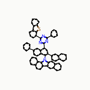 c1ccc(-c2ccc3c(-n4c5cc6ccccc6cc5c5ccc6ccccc6c54)c(-c4ccc5ccccc5c4)cc(-c4nc(-c5ccccc5)nc(-c5cccc6c5sc5ccccc56)n4)c3c2)cc1